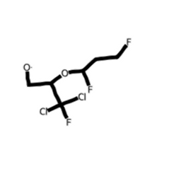 [O]CC(OC(F)CCF)C(F)(Cl)Cl